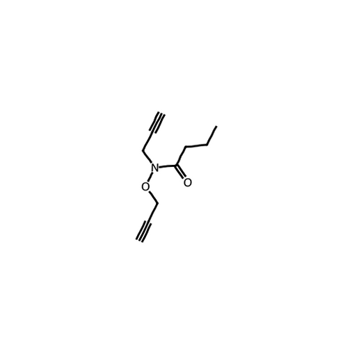 C#CCON(CC#C)C(=O)CCC